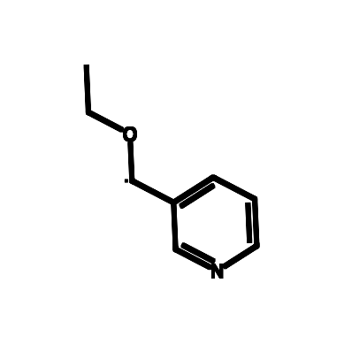 CCO[CH]c1cccnc1